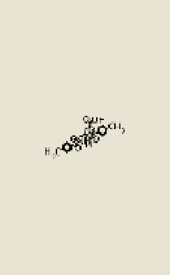 Cc1ccc(S(=O)(=O)NCC(CCC(=O)O)NS(=O)(=O)c2ccc(C)cc2)cc1